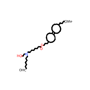 COCCCC1CCCCCC2C(CCCCC1)C1CCCCCC(CCCOC(=O)CCCCCCCN(CCO)CCCCCCCC=O)CCCCCC21